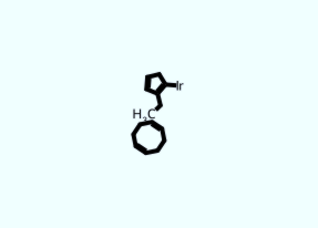 C1=C\CC/C=C\CC/1.CCC1=[C]([Ir])CC=C1